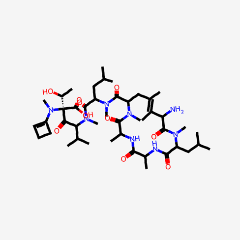 CC(C)CC(C(=O)N(C)C(CC(C)C)C(=O)N(C)C(C(=O)[C@@](C(=O)O)(C(C)O)N(C)C1=CCC1)C(C)C)N(C)C(=O)C(C)NC(=O)C(C)NC(=O)C(CC(C)C)N(C)C(=O)C(N)C(C)C